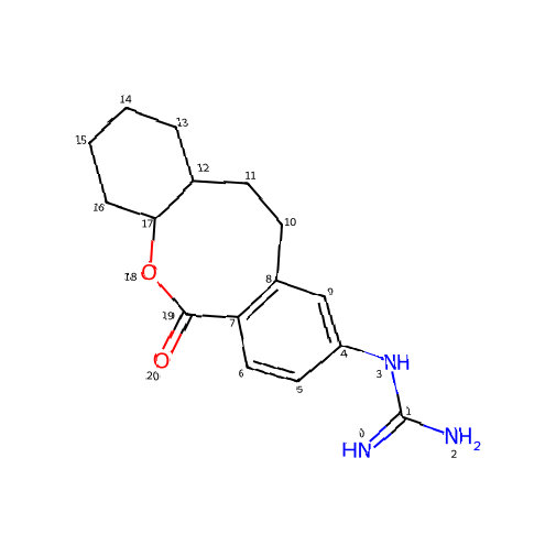 N=C(N)Nc1ccc2c(c1)CCC1CCCCC1OC2=O